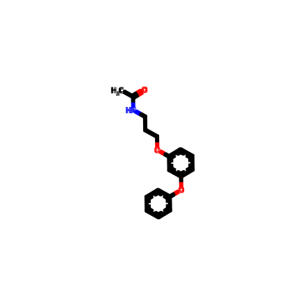 CC(=O)NCCCOc1cccc(Oc2ccccc2)c1